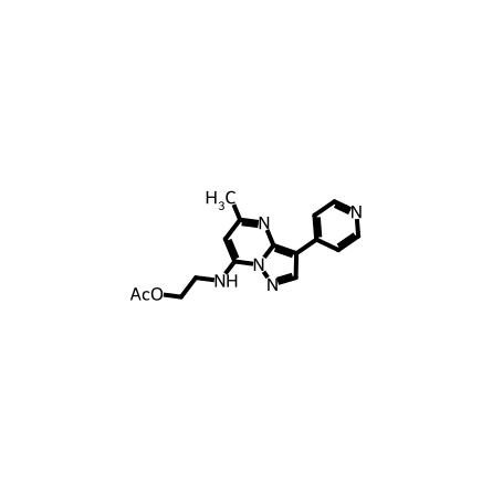 CC(=O)OCCNc1cc(C)nc2c(-c3ccncc3)cnn12